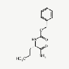 NC(=O)[C@H](CCC(=O)O)NC(=O)OCc1ccccc1